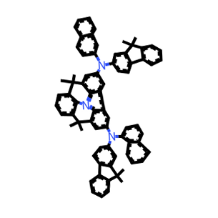 CC1(C)c2ccccc2-c2ccc(N(c3ccc4ccccc4c3)c3cc4c5c(c3)c3cc(N(c6ccc7c(c6)C(C)(C)c6ccccc6-7)c6cccc7ccccc67)cc6c3n5-c3c(cccc3C6(C)C)C4(C)C)cc21